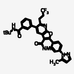 CNC(=O)c1c(-c2ccc(-n3nccc3C)cc2)oc2nc(CCC(F)(F)F)c(-c3cccc(C(=O)NC(C)(C)C)c3)cc12